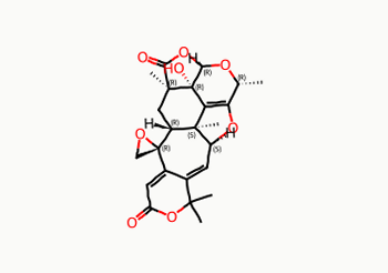 C[C@H]1O[C@@H]2OC(=O)[C@]3(C)C[C@@H]4[C@@]5(C)C(=C1O[C@H]5C=C1C(=CC(=O)OC1(C)C)[C@@]41CO1)[C@]23O